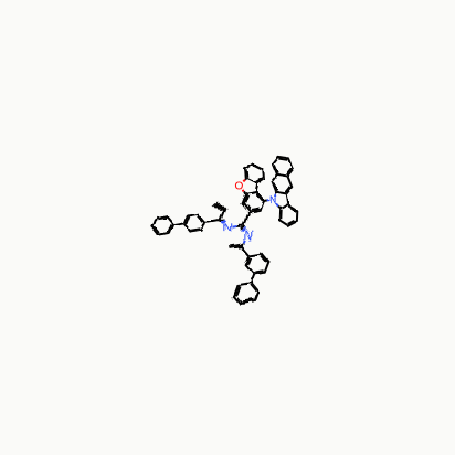 C=C/C(=N\C(=N/C(=C)c1cccc(-c2ccccc2)c1)c1cc(-n2c3ccccc3c3cc4ccccc4cc32)c2c(c1)oc1ccccc12)c1ccc(-c2ccccc2)cc1